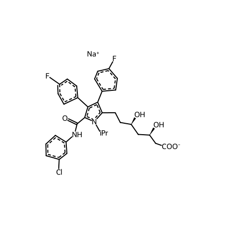 CC(C)n1c(CC[C@@H](O)C[C@@H](O)CC(=O)[O-])c(-c2ccc(F)cc2)c(-c2ccc(F)cc2)c1C(=O)Nc1cccc(Cl)c1.[Na+]